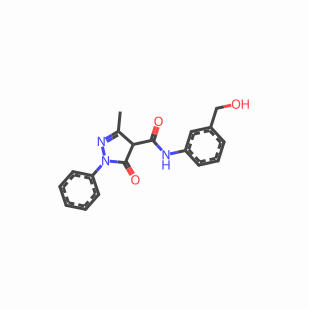 CC1=NN(c2ccccc2)C(=O)C1C(=O)Nc1cccc(CO)c1